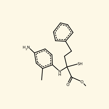 COC(=O)C(S)(CCc1ccccc1)Nc1ccc(N)cc1C